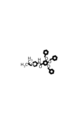 C[C](C)CN1CCC(NC(=O)c2cc(OCc3ccccc3)c(OCc3ccccc3)c(OCc3ccccc3)c2)CC1